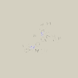 Cc1c(C)c(C)n(-c2cc(-c3ccc(-n4c(C)c5ccccc5c4C)c(C(=O)O)c3)ccc2C(=O)O)c1C